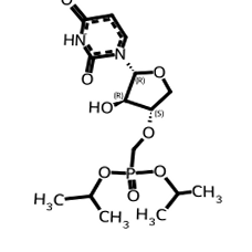 CC(C)OP(=O)(CO[C@H]1CO[C@@H](n2ccc(=O)[nH]c2=O)[C@@H]1O)OC(C)C